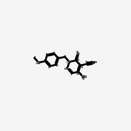 COc1ccc(Cn2ncc(O)c(C#N)c2=O)cc1